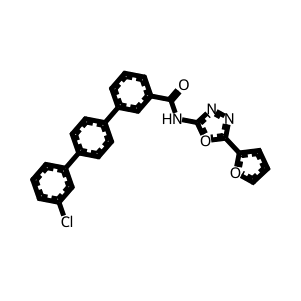 O=C(Nc1nnc(-c2ccco2)o1)c1cccc(-c2ccc(-c3cccc(Cl)c3)cc2)c1